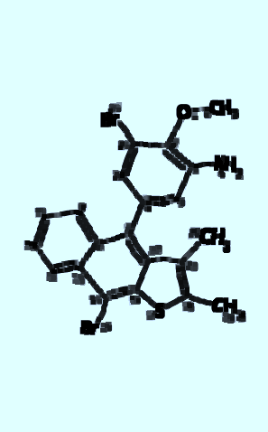 COc1c(N)cc(-c2c3ccccc3c(Br)c3sc(C)c(C)c23)cc1Br